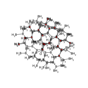 BB(B)B(B)B(B(B(B)B)B(B)B)B(B(B(B(B)B)B(B)B)B(B(B)B)B(B)B)B(B(B(B=O)B(B(B(B(B(B)B)B(B)B)B(B(B)B)B(B)B)B(B(B(B)B)B(B)B)B(B(B)B)B(B)B)B(B(B(B(B)B)B(B)B)B(B(B)B)B(B)B)B(B(B(B)B)B(B)B)B(B(B)B)B(B)B)B(B(B(B(B)B)B(B)B)B(B(B)B)B(B)B)B(B(B(B)B)B(B)B)B(B(B)B)B(B)B)B(B(B(B)B)B(B)B)B(B(B)B)B(B)B